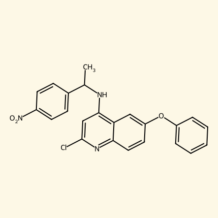 CC(Nc1cc(Cl)nc2ccc(Oc3ccccc3)cc12)c1ccc([N+](=O)[O-])cc1